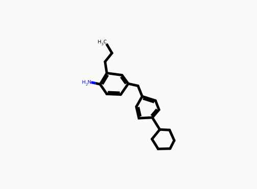 CCCc1cc(Cc2ccc(C3CCCCC3)cc2)ccc1N